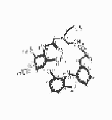 CCN(CC)CC(=O)Nc1c(C)cccc1C.Cl.O=C([O-])Cc1ccccc1Nc1c(Cl)cccc1Cl.[Na+]